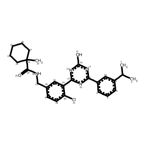 CC(C)c1cccc(-c2nc(O)nc(-c3cc(CNC(=O)C4(C)CCCCC4)ccc3Cl)n2)c1